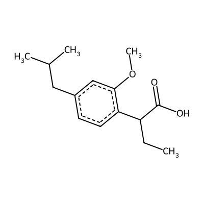 CCC(C(=O)O)c1ccc(CC(C)C)cc1OC